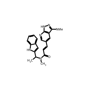 CNc1n[nH]c2ncc(C=CC(=O)N(C)C(C)c3cc4ccccc4[nH]3)cc12